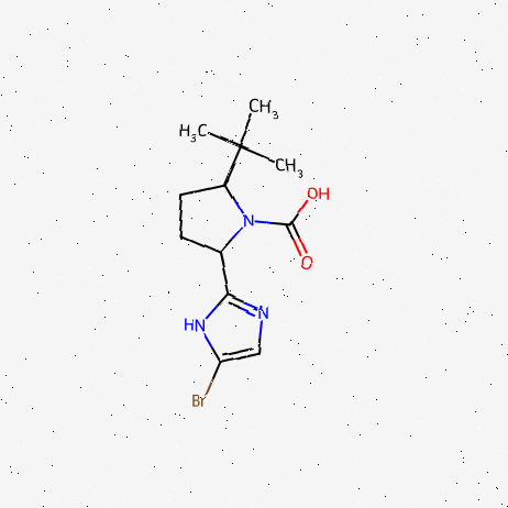 CC(C)(C)C1CCC(c2ncc(Br)[nH]2)N1C(=O)O